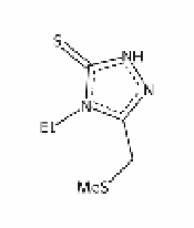 CCn1c(CSC)n[nH]c1=S